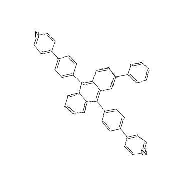 c1ccc(-c2ccc3c(-c4ccc(-c5ccncc5)cc4)c4ccccc4c(-c4ccc(-c5ccncc5)cc4)c3c2)cc1